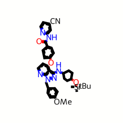 COc1ccc(Cn2nc(NC3CCC(O[Si](C)(C)C(C)(C)C)CC3)c3c(Oc4ccc(C(=O)Nc5cc(C#N)ccn5)cc4)ccnc32)cc1